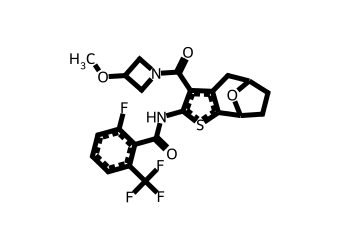 COC1CN(C(=O)c2c(NC(=O)c3c(F)cccc3C(F)(F)F)sc3c2CC2CCC3O2)C1